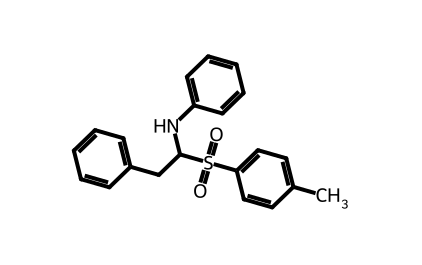 Cc1ccc(S(=O)(=O)C(Cc2ccccc2)Nc2ccccc2)cc1